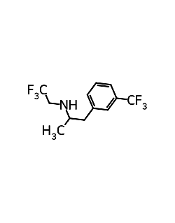 CC(Cc1cccc(C(F)(F)F)c1)NCC(F)(F)F